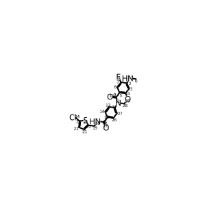 CNc1cc2c(cc1F)C(=O)N(c1ccc(C(=O)NCc3ccc(Cl)s3)cc1)CO2